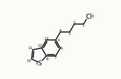 ClCCCCc1ccc2sccc2c1